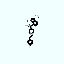 N#Cc1c[nH]c2c(C(O)C3CCN(CCc4ccc(F)cc4)CC3)cccc12